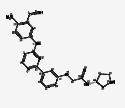 N=Cc1cc(Nc2ccnc(-c3cccc(OCC(=O)N[C@@H]4CCNC4)c3)n2)ccc1N